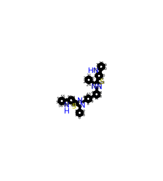 c1ccc(-c2nc(-c3ccc(-c4cccc(-c5nc(-c6ccccc6)c6c(n5)sc5cc7c(cc56)[nH]c5ccccc57)c4)cc3)nc3c2sc2c3ccc3c4ccccc4[nH]c32)cc1